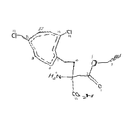 CCCCOC(=O)C(N)(Cc1ccc(Cl)cc1Cl)C(=O)O